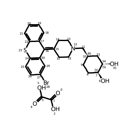 O=C(O)C(=O)O.O[C@H]1CC[C@@H](CN2CCC(=C3c4ccccc4Sc4ccc(Br)cc43)CC2)C[C@@H]1O